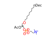 CCCCCCCCCCCCCCCCCCOC[C@H](COP(=O)([O-])OCC[N+](C)(C)C)OC(C)=O